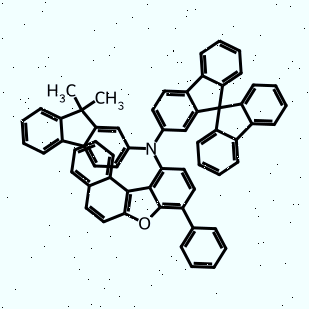 CC1(C)c2ccccc2-c2ccc(N(c3ccc4c(c3)C3(c5ccccc5-c5ccccc53)c3ccccc3-4)c3ccc(-c4ccccc4)c4oc5ccc6ccccc6c5c34)cc21